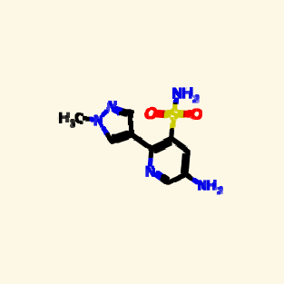 Cn1cc(-c2ncc(N)cc2S(N)(=O)=O)cn1